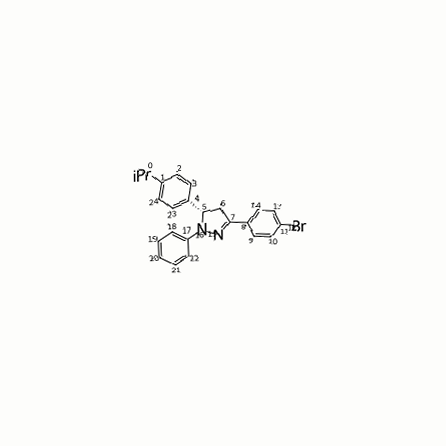 CC(C)c1ccc([C@@H]2CC(c3ccc(Br)cc3)=NN2c2ccccc2)cc1